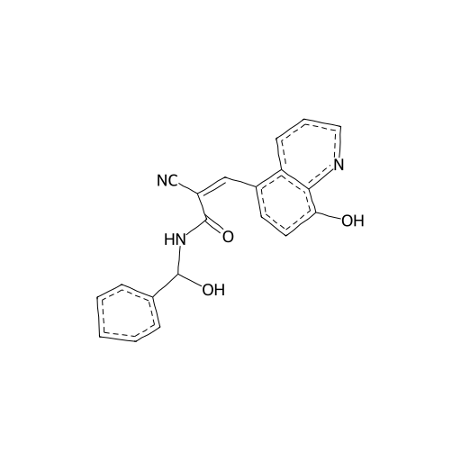 N#CC(=Cc1ccc(O)c2ncccc12)C(=O)NC(O)c1ccccc1